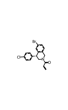 C=CC(=O)N1Cc2ccc(Br)cc2[C@H](c2ccc(Cl)cc2)C1